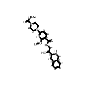 CCOc1nc(N2CCN(C(=O)OC)CC2)ccc1C(=O)NCC(O)C1Cc2ccccc2CN1